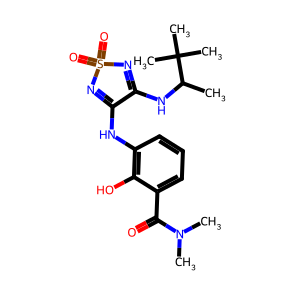 CC(NC1=NS(=O)(=O)N=C1Nc1cccc(C(=O)N(C)C)c1O)C(C)(C)C